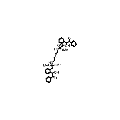 COC(Cc1ccccc1C(O)C(=O)c1ccccc1)(NCCOCCNC(Cc1ccccc1C(O)C(=O)c1ccccc1)(OC)OC)OC